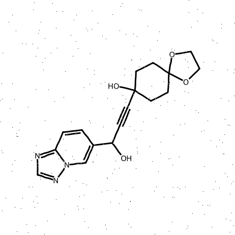 OC(C#CC1(O)CCC2(CC1)OCCO2)c1ccc2ncnn2c1